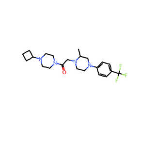 CC1CN(c2ccc(C(F)(F)F)cc2)CCN1CC(=O)N1CCN(C2CCC2)CC1